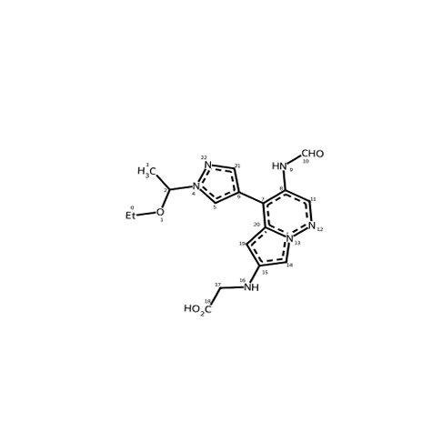 CCOC(C)n1cc(-c2c(NC=O)cnn3cc(NCC(=O)O)cc23)cn1